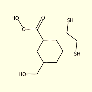 O=C(OO)C1CCCC(CO)C1.SCCS